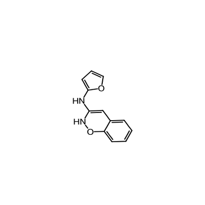 C1=C(Nc2ccco2)NOc2ccccc21